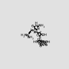 Nc1nc2c(c(=O)[nH]1)N(CC#CN(N)N)CN2[C@H]1C[C@H](O)[C@@H](COP(=O)(O)OP(=O)(O)OP(=O)(O)O)O1